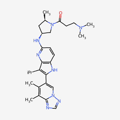 Cc1c(-c2[nH]c3ccc(N[C@H]4C[C@@H](C)N(C(=O)CCN(C)C)C4)nc3c2C(C)C)cn2ncnc2c1C